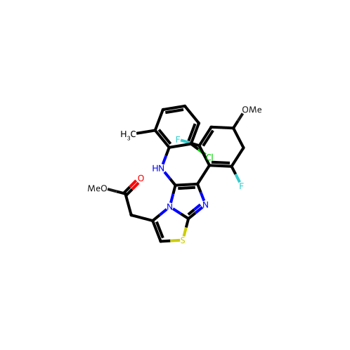 COC(=O)Cc1csc2nc(C3=C(F)CC(OC)C=C3F)c(Nc3c(C)cccc3Cl)n12